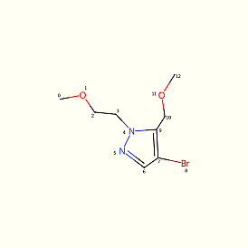 COCCn1ncc(Br)c1COC